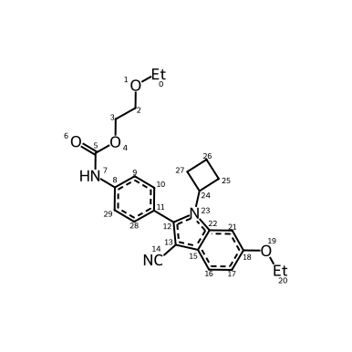 CCOCCOC(=O)Nc1ccc(-c2c(C#N)c3ccc(OCC)cc3n2C2CCC2)cc1